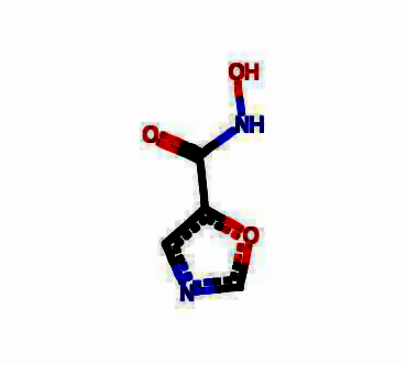 O=C(NO)c1cnco1